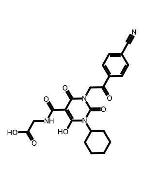 N#Cc1ccc(C(=O)Cn2c(=O)c(C(=O)NCC(=O)O)c(O)n(C3CCCCC3)c2=O)cc1